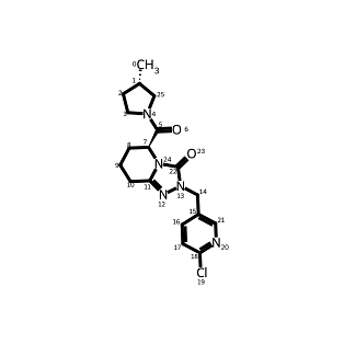 C[C@H]1CCN(C(=O)[C@@H]2CCCc3nn(Cc4ccc(Cl)nc4)c(=O)n32)C1